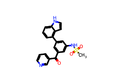 CS(=O)(=O)Nc1cc(C(=O)c2cccnc2)cc(-c2cccc3[nH]ccc23)c1